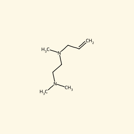 C=CCN(C)CCN(C)C